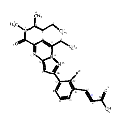 CCCC(C)N(C)C(=O)c1cc(CC)n2nc(-c3cccc(/C=C/C(=O)O)c3F)cc2n1